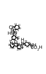 Cc1cc(NS(=O)(=O)c2ccccc2Cl)cc(F)c1Oc1ncccc1-c1ccnc(NC2CCC(NC(=O)O)CC2)n1